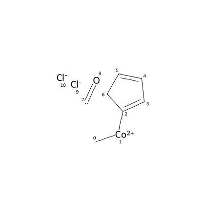 [CH3][Co+2][C]1=CC=CC1.[C]=O.[Cl-].[Cl-]